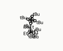 CC(C)(C)c1ccc(O[Si](Oc2ccc(C(C)(C)C)cc2)(Oc2ccc(C(C)(C)C)cc2)Oc2ccc(C(C)(C)C)cc2)cc1.CCC(C)CC(CC)CO[Si](OCC(CC)CC(C)CC)(OCC(CC)CC(C)CC)OCC(CC)CC(C)CC